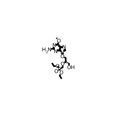 CCOP(=O)(CO[C@H](CO)COn1cnc2c(OC)nc(N)nc21)OCC